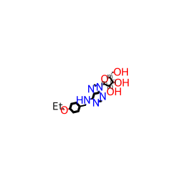 CCOc1ccc(CNc2ncnc3c2ncn3[C@@H]2O[C@H](CO)[C@@H](O)[C@H]2O)cc1